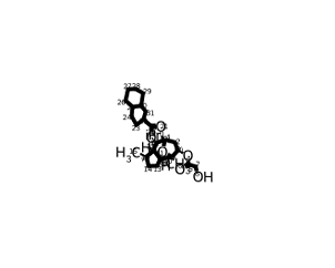 CC(C)[C@@]12C[C@@H](OC(=O)CO)C(C)(O1)[C@@H]1CC[C@@H](C)[C@H]1[C@@H]2OC(=O)C1CCC2CCCCC2C1